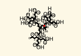 CC(=O)CCC(CCC(=O)O)(CCC(=O)O)NC(=O)CCC(CCC(=O)NC(CCC(=O)O)(CCC(=O)O)CCC(=O)O)(CCC(=O)NC(CCC(=O)O)(CCC(=O)O)CCC(=O)O)NC(C)(C)C